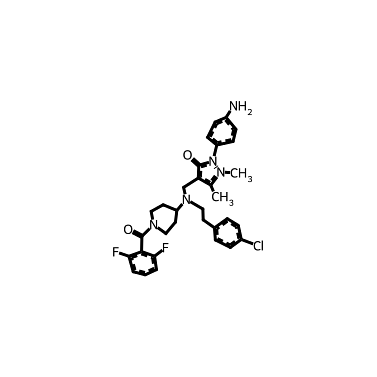 Cc1c(CN(CCc2ccc(Cl)cc2)C2CCN(C(=O)c3c(F)cccc3F)CC2)c(=O)n(-c2ccc(N)cc2)n1C